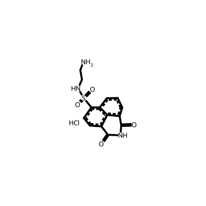 Cl.NCCNS(=O)(=O)c1ccc2c3c(cccc13)C(=O)NC2=O